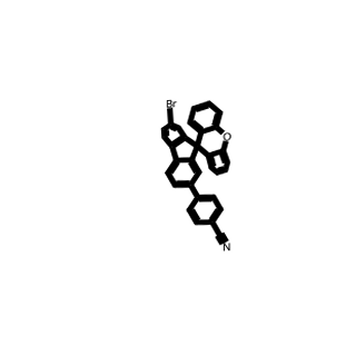 N#Cc1ccc(-c2ccc3c(c2)C2(c4ccccc4Oc4ccccc42)c2cc(Br)ccc2-3)cc1